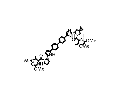 COC(=O)N[C@H](C(=O)N1CCC[C@H]1c1ccc(-c2ccc(-c3ccc(-c4cnc([C@@H]5CC6(CC6)CN5C(=O)[C@@H](NC(=O)OC)[C@@H](C)OC)[nH]4)cc3)cc2)[nH]1)[C@@H](C)OC